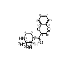 [2H]C1([2H])NCCN(C(=O)C2COc3ccccc3O2)C1([2H])[2H]